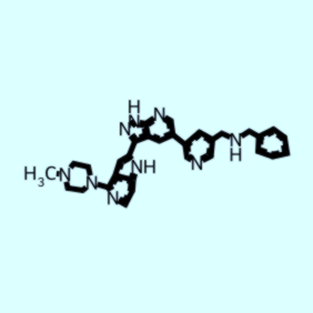 CN1CCN(c2nccc3[nH]c(-c4n[nH]c5ncc(-c6cncc(CNCc7ccccc7)c6)cc45)cc23)CC1